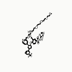 COCCOCCOCCOCCNCCOCc1cc(-c2cc(-c3cccc(C(F)(F)F)c3)ccc2Oc2ccc(S(=O)(=O)Nc3ncns3)cc2C#N)ccn1